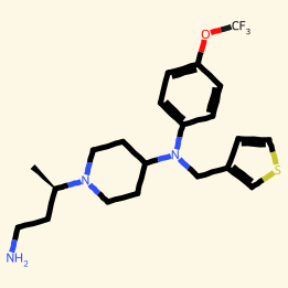 C[C@H](CCN)N1CCC(N(Cc2ccsc2)c2ccc(OC(F)(F)F)cc2)CC1